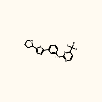 FC(F)(F)c1ccnc(Nc2cccc(-c3cnc(C4CCCO4)s3)c2)n1